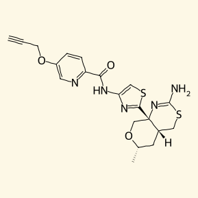 C#CCOc1ccc(C(=O)Nc2csc([C@]34CO[C@@H](C)C[C@H]3CSC(N)=N4)n2)nc1